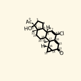 CC(=O)[C@@]1(O)CCC2[C@@H]3C=C(Cl)C4=CC(=O)C5C[C@@H]5[C@]4(C)C3CC[C@@]21C